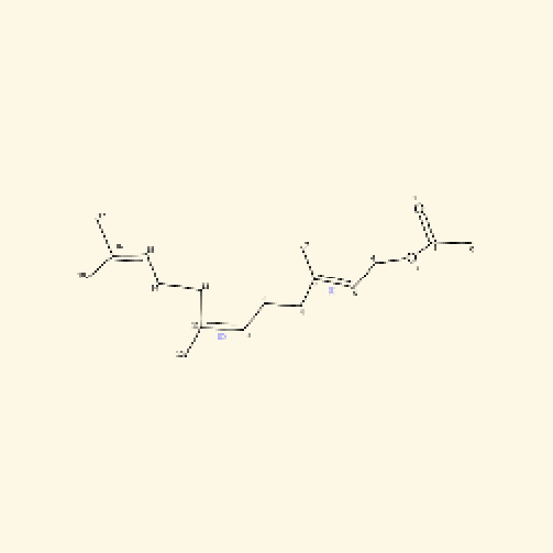 CC(=O)OC/C=C(\C)CC/C=C(/C)CCC=C(C)C